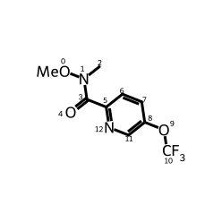 CON(C)C(=O)c1ccc(OC(F)(F)F)cn1